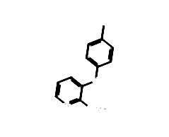 COc1ncccc1Sc1ccc(C)cc1